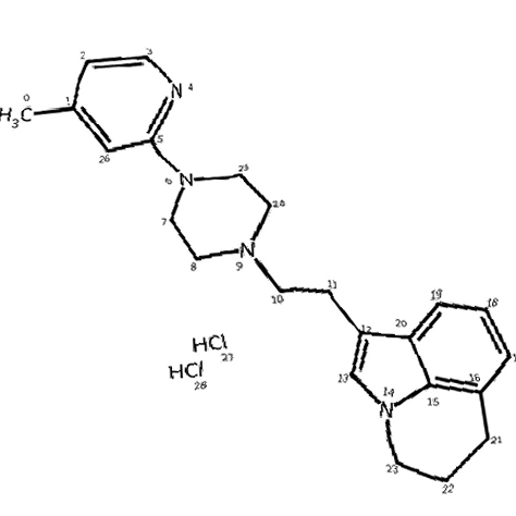 Cc1ccnc(N2CCN(CCc3cn4c5c(cccc35)CCC4)CC2)c1.Cl.Cl